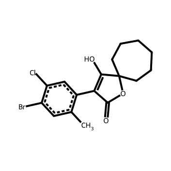 Cc1cc(Br)c(Cl)cc1C1=C(O)C2(CCCCCC2)OC1=O